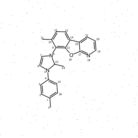 Cc1ccc(N2C=CN(c3c(C)ccc4c3oc3ncccc34)C2C)cc1